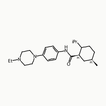 CCN1CCN(c2ccc(NC(=O)[C@@H]3C[C@H](C)CCC3C(C)C)cc2)CC1